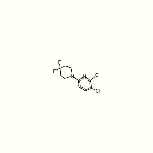 FC1(F)CCN(c2ncc(Cl)c(Cl)n2)CC1